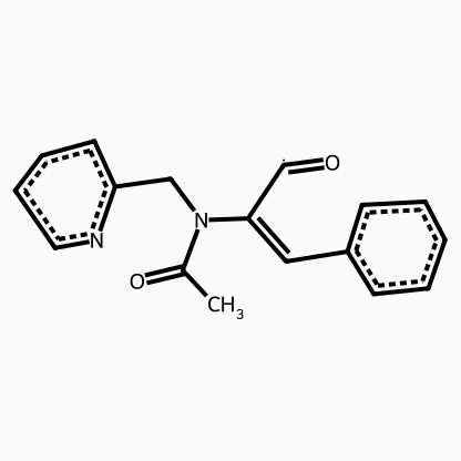 CC(=O)N(Cc1ccccn1)C([C]=O)=Cc1ccccc1